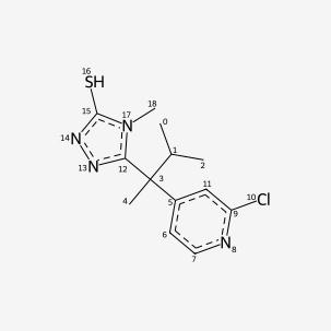 CC(C)C(C)(c1ccnc(Cl)c1)c1nnc(S)n1C